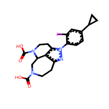 O=C(O)N1CCc2nn(-c3ccc(C4CC4)cc3I)c3c2C(C1)N(C(=O)O)CC3